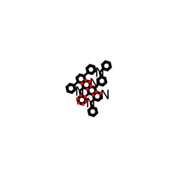 N#Cc1cc(-c2ccccc2N(c2ccccc2)c2ccccc2)ccc1-c1cccc(N(c2ccccc2)c2cccc(-c3ccc(-c4ccccc4N(c4ccccc4)c4ccccc4)cc3C#N)c2)c1